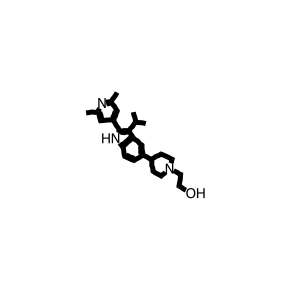 Cc1cc(-c2[nH]c3ccc(C4CCN(CCO)CC4)cc3c2C(C)C)cc(C)n1